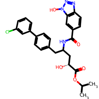 CC(C)OC(=O)[C@H](O)CC(Cc1ccc(-c2cccc(Cl)c2)cc1)NC(=O)c1ccc2nnn(O)c2c1